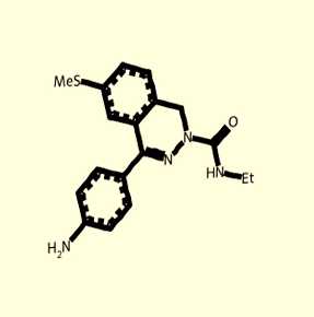 CCNC(=O)N1Cc2ccc(SC)cc2C(c2ccc(N)cc2)=N1